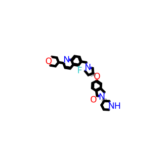 O=C1c2ccc(O[C@H]3CCN(Cc4ccc5nc(C6CCOCC6)ccc5c4F)C3)cc2CN1[C@H]1CCCNC1